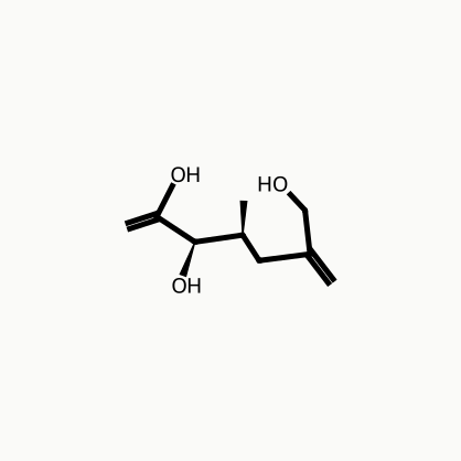 C=C(CO)C[C@H](C)[C@@H](O)C(=C)O